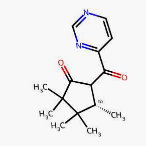 C[C@H]1C(C(=O)c2ccncn2)C(=O)C(C)(C)C1(C)C